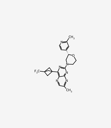 Cc1cc([C@H]2CN(c3nc(C45CC(C(F)(F)F)(C4)C5)c4ncc(C)nc4n3)CCO2)ccn1